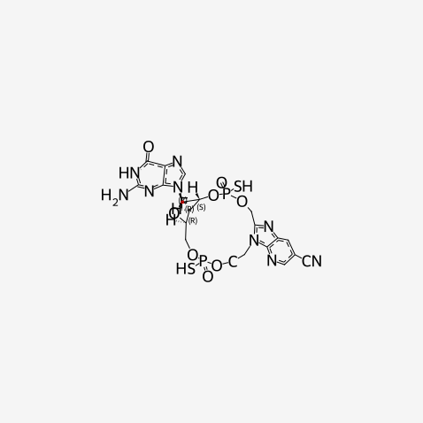 N#Cc1cnc2c(c1)nc1n2CCOP(=O)(S)OC[C@H]2O[C@@H](n3cnc4c(=O)[nH]c(N)nc43)[C@H](OP(=O)(S)OC1)[C@@H]2F